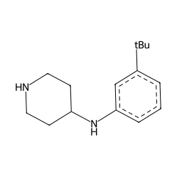 CC(C)(C)c1cccc(NC2CCNCC2)c1